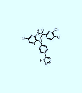 O=S(=O)(Nc1cc(Cl)cnc1Oc1ccc(-c2nnn[nH]2)cc1)c1ccc(Cl)c(Cl)c1